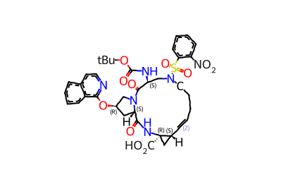 CC(C)(C)OC(=O)N[C@H]1CN(S(=O)(=O)c2ccccc2[N+](=O)[O-])CCC/C=C\[C@@H]2C[C@@]2(C(=O)O)NC(=O)[C@@H]2C[C@@H](Oc3nccc4ccccc34)CN2C1=O